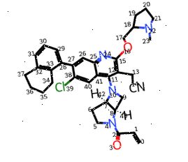 C=CC(=O)N1CC[C@@H]2[C@H]1CN2c1c(CC#N)c(OCC2CCCN2C)nc2cc(-c3cccc4c3CCCC4)c(Cl)cc12